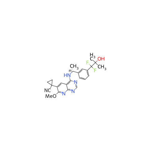 COc1nc2ncnc(N[C@H](C)c3cccc(C(F)(F)C(C)(C)O)c3)c2cc1C1(C#N)CC1